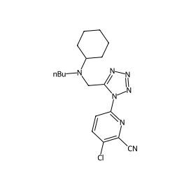 CCCCN(Cc1nnnn1-c1ccc(Cl)c(C#N)n1)C1CCCCC1